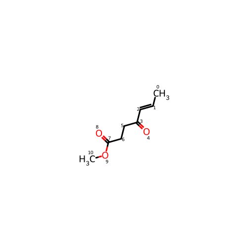 C/C=C/C(=O)CCC(=O)OC